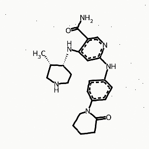 C[C@H]1CNCC[C@H]1Nc1cc(Nc2ccc(N3CCCCC3=O)cc2)ncc1C(N)=O